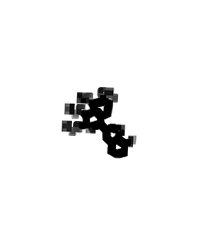 Cc1ccc2c(c1C#N)C(C)C(C)N=C2c1cnc2c(F)cccc2c1